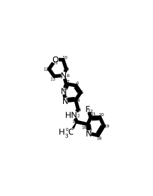 C[C@@H](NCc1ccc(N2CCOCC2)nn1)c1ncccc1F